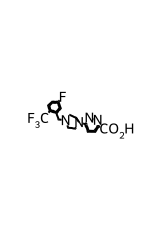 O=C(O)c1ccc(N2CCN(Cc3cc(F)ccc3C(F)(F)F)CC2)nn1